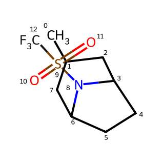 CC1CC2CCC(C1)N2S(=O)(=O)C(F)(F)F